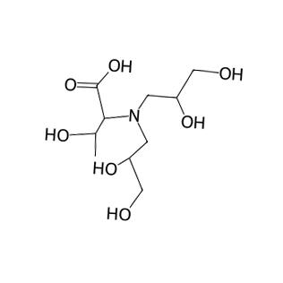 CC(O)C(C(=O)O)N(CC(O)CO)CC(O)CO